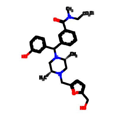 CCOC(=O)CN(C)C(=O)c1cccc(C(c2cccc(O)c2)N2C[C@@H](C)N(Cc3ccc(CO)o3)C[C@H]2C)c1